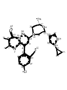 Cc1nc2c(-c3ccc(Cl)cc3F)cc(N3C[C@@H](c4cnn(C5CC5)c4)O[C@@H](C)C3)nn2c(=O)c1C